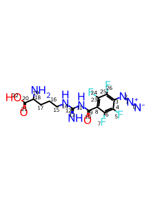 [N-]=[N+]=Nc1c(F)c(F)c(C(=O)NC(=N)NCCCC(N)C(=O)O)c(F)c1F